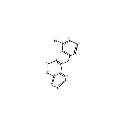 Sc1nccc(Oc2cccc3ccccc23)n1